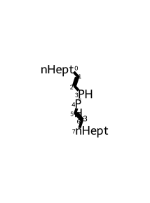 CCCCCCC/C=C/P[PH3]/C=C/CCCCCCC